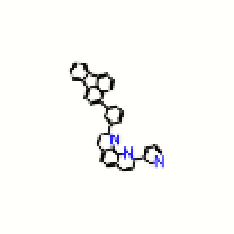 c1cncc(-c2ccc3ccc4ccc(-c5cccc(-c6ccc7c8c(cccc68)-c6ccccc6-7)c5)nc4c3n2)c1